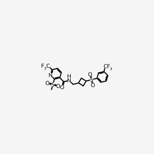 CS(=O)(=O)c1nc(C(F)(F)F)ccc1C(=O)NCC1CC(S(=O)(=O)c2cccc(C(F)(F)F)c2)C1